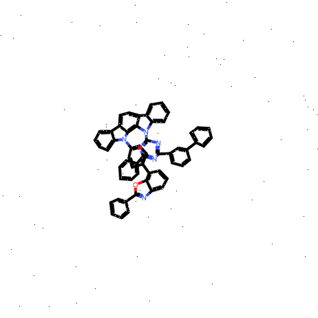 c1ccc(-c2cccc(-c3nc(-c4ccccc4)nc(-n4c5ccccc5c5ccc6c7ccccc7n(-c7ccc(-c8cccc9nc(-c%10ccccc%10)oc89)cc7)c6c54)n3)c2)cc1